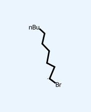 [CH2]CCCCCCCC[CH]Br